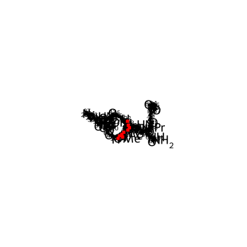 CO[C@H]1/C=C/O[C@@]2(C)Oc3c(C)c(O)c4c(=O)c(c5oc6cc(N7CCC(N(C)C)CC7)cc(O)c6nc-5c4c3C2=O)NC(=O)/C(C)=C\C=C\[C@H](C)[C@@H]2OC(c3ccc(NC(=O)[C@H](CCCNC(N)=O)NC(=O)[C@@H](NC(=O)CCCCCN4C(=O)C=CC4=O)C(C)C)cc3)O[C@@H]([C@@H](C)[C@H](OC(C)=O)[C@@H]1C)[C@@H]2C